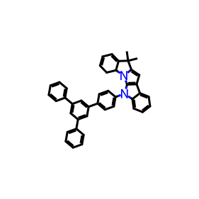 CC1(C)C2=CC=CCC2n2c1cc1c3ccccc3n(-c3ccc(-c4cc(-c5ccccc5)cc(-c5ccccc5)c4)cc3)c12